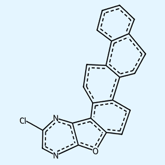 Clc1cnc2oc3ccc4c5ccc6ccccc6c5ccc4c3c2n1